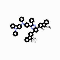 CC1(C)c2ccccc2-c2ccc(-c3ccc(-c4ccc5c(c4)C(C)(C)c4ccccc4-5)c4nc(-c5ccc(N(c6ccccc6)c6ccc7c(c6)c6ccccc6n7-c6ccccc6)cc5)c(-c5ccccc5)nc34)cc21